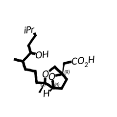 CC(C)CCC(O)C(C)CCC[C@]1(C)OC[C@]2(CC(=O)O)CC[C@H]1O2